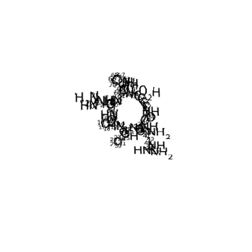 N=C(N)NCCC[C@@H]1NC(=O)[C@@H](Cc2ccccc2)NC(=O)[C@H](COCc2ccccc2)NC(=O)[C@@H](NC(=O)[C@@H](N)CCCNC(=N)N)CC(=O)NCCCCC(C(=O)O)NC(=O)[C@H](Cc2c[nH]c3ccccc23)NC1=O